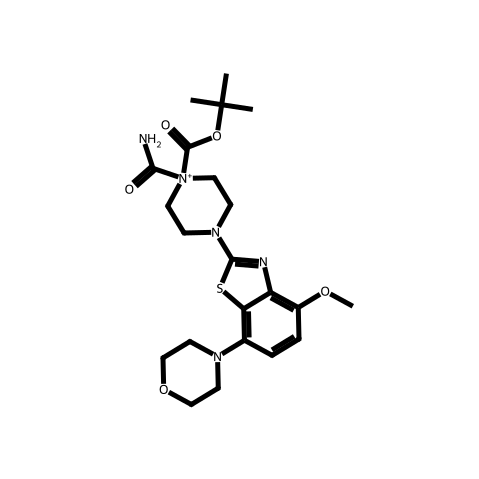 COc1ccc(N2CCOCC2)c2sc(N3CC[N+](C(N)=O)(C(=O)OC(C)(C)C)CC3)nc12